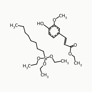 CCCCCCCC[Si](OCC)(OCC)OCC.CCOC(=O)C=Cc1ccc(O)c(OC)c1